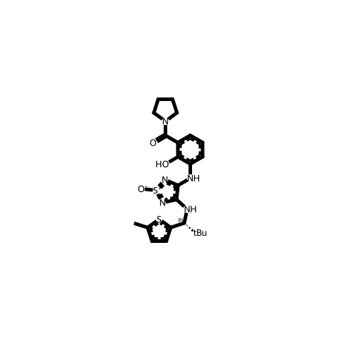 Cc1ccc([C@H](Nc2n[s+]([O-])nc2Nc2cccc(C(=O)N3CCCC3)c2O)C(C)(C)C)s1